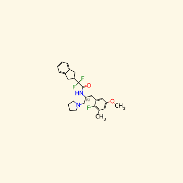 COc1cc(C)c(F)c(C[C@@H](CN2CCCC2)NC(=O)C(F)(F)C2Cc3ccccc3C2)c1